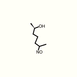 CC(CCC[C@@H](C)O)N=O